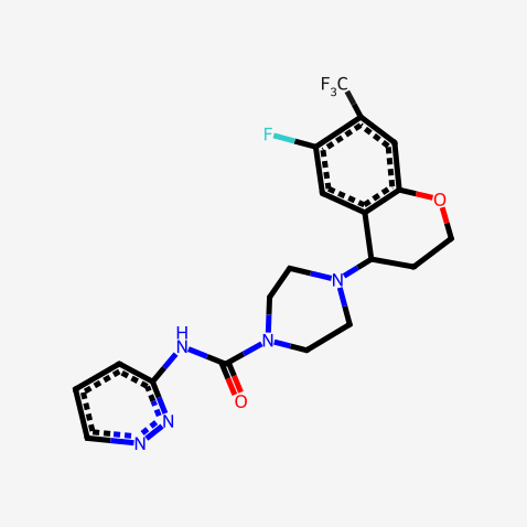 O=C(Nc1cccnn1)N1CCN(C2CCOc3cc(C(F)(F)F)c(F)cc32)CC1